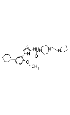 CCOc1ccc(C2CCCCC2)cc1-c1csc(NC(=O)N2CCN(CCN3CCCC3)CC2)n1